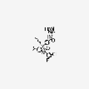 CCCCC[C@H](c1ccc(C(=O)NCc2nn[nH]n2)cc1)N1C(=O)C(c2cc(F)cc(Cl)c2)=NC12CCC(C(C)C)CC2